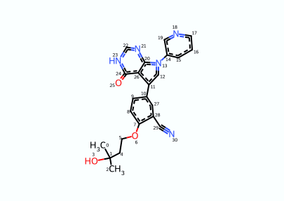 CC(C)(O)CCOc1ccc(-c2cn(-c3cccnc3)c3nc[nH]c(=O)c23)cc1C#N